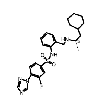 C[C@@H](CC1CCCCC1)NCc1ccccc1NS(=O)(=O)c1ccc(-n2cncn2)c(F)c1